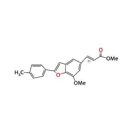 COC(=O)/C=C/c1cc(OC)c2oc(-c3ccc(C)cc3)cc2c1